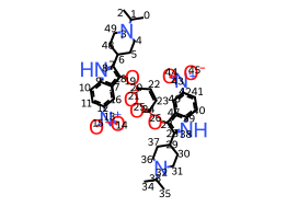 CC(C)N1CCC(c2[nH]c3ccc([N+](=O)[O-])cc3c2OC(=O)/C=C\C(=O)Oc2c(C3CCN(C(C)C)CC3)[nH]c3ccc([N+](=O)[O-])cc23)CC1